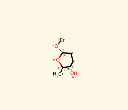 CCO[C@@H]1CC[C@H](O)[C@@H](C)O1